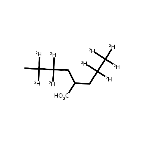 [2H]C([2H])([2H])C([2H])([2H])CC(CC([2H])([2H])C([2H])([2H])C)C(=O)O